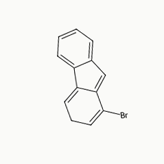 BrC1=CCC=C2C1=Cc1ccccc12